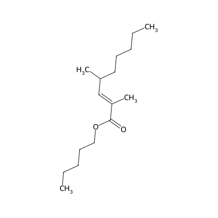 CCCCCOC(=O)C(C)=CC(C)CCCCC